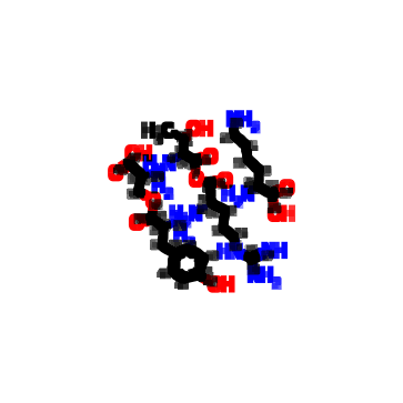 C[C@@H](O)[C@H](N)C(=O)OC(=O)[C@@H](N)CCCNC(=N)N.NCCCC[C@H](N)C(=O)O.N[C@@H](COC(=O)[C@@H](N)Cc1ccc(O)cc1)C(=O)O